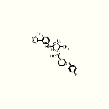 CC(C)[C@H](C[C@@H](O)N1CCC[C@@H](Cc2ccc(F)cc2)C1)NC(=O)Nc1cccc(-c2nnnn2C)c1